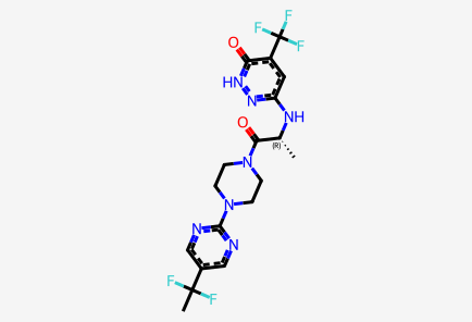 C[C@@H](Nc1cc(C(F)(F)F)c(=O)[nH]n1)C(=O)N1CCN(c2ncc(C(C)(F)F)cn2)CC1